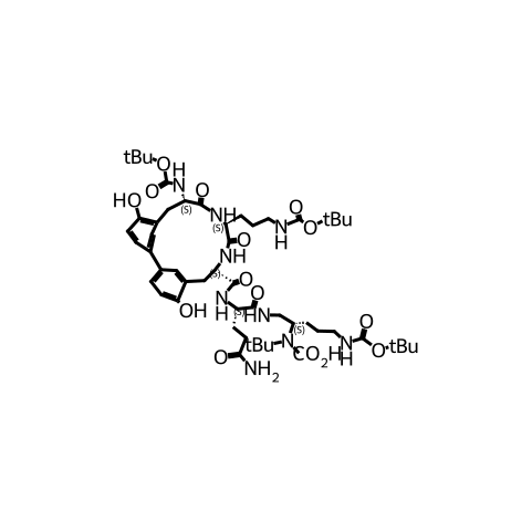 CC(C)(C)OC(=O)NCCC[C@@H](CNC(=O)[C@H](CCC(N)=O)NC(=O)[C@@H]1Cc2cc(ccc2O)-c2ccc(O)c(c2)C[C@H](NC(=O)OC(C)(C)C)C(=O)N[C@@H](CCCNC(=O)OC(C)(C)C)C(=O)N1)N(C(=O)O)C(C)(C)C